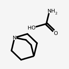 C1CN2CCC1CC2.NC(=O)O